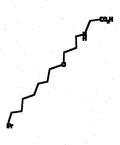 CC(C)CCCCCCCOCCCNCC(=O)O